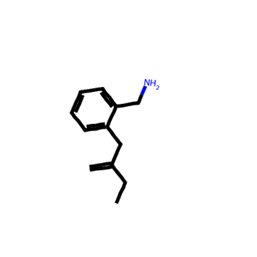 C=C(CC)Cc1ccccc1CN